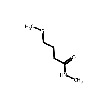 CNC(=O)CCCSC